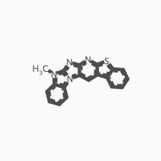 Cn1c2ccccc2n2c3cc4c(nc3nc12)sc1ccccc14